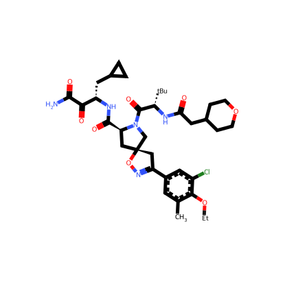 CCOc1c(C)cc(C2=NO[C@]3(C2)C[C@@H](C(=O)N[C@@H](CC2CC2)C(=O)C(N)=O)N(C(=O)[C@@H](NC(=O)CC2CCOCC2)C(C)(C)C)C3)cc1Cl